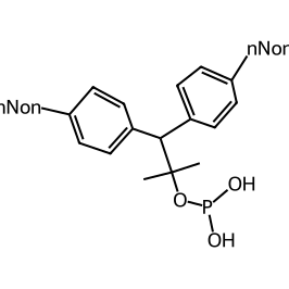 CCCCCCCCCc1ccc(C(c2ccc(CCCCCCCCC)cc2)C(C)(C)OP(O)O)cc1